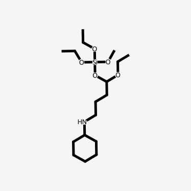 CCOC(CCCNC1CCCCC1)O[Si](OC)(OCC)OCC